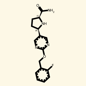 NC(=O)[C@@H]1CC[C@H](c2cnc(OCc3ccccc3F)nc2)N1